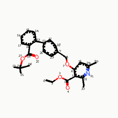 CCOC(=O)c1c(OCc2ccc(-c3ccccc3C(=O)OC(C)(C)C)cc2)cc(C)nc1C